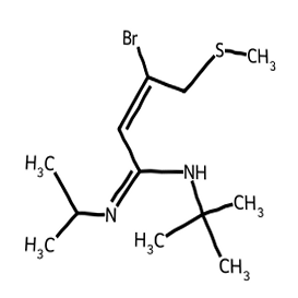 CSC/C(Br)=C\C(=N/C(C)C)NC(C)(C)C